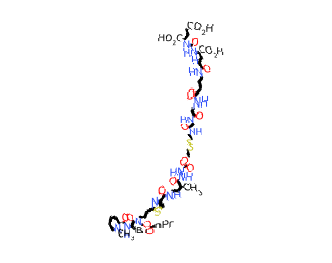 CCCC(=O)OCN(CCCc1nc(C(=O)NCC[C@H](C)C(=O)NNC(=O)OCCSSCCNC(=O)CNC(=O)CNC(=O)CCCNC(=O)CCC(NC(=O)N[C@@H](CCC(=O)O)C(=O)O)C(=O)O)cs1)C(=O)C(NC(=O)[C@H]1CCCCN1C)C(C)CC